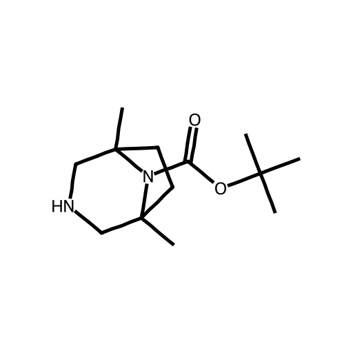 CC(C)(C)OC(=O)N1C2(C)CCC1(C)CNC2